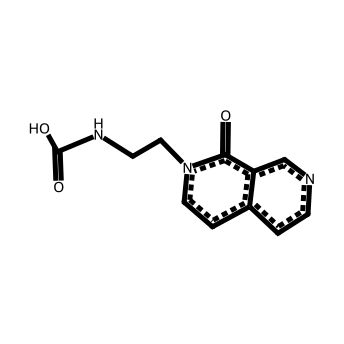 O=C(O)NCCn1ccc2ccncc2c1=O